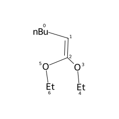 CCCCC=C(OCC)OCC